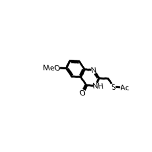 COc1ccc2nc(CSC(C)=O)[nH]c(=O)c2c1